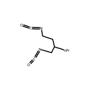 CCCC(CCN=C=O)CN=C=O